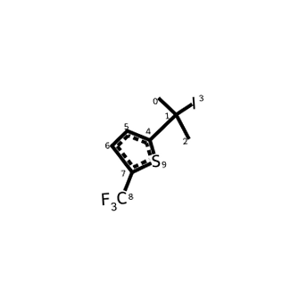 CC(C)(I)c1ccc(C(F)(F)F)s1